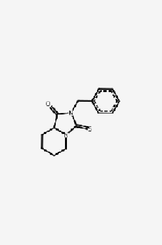 O=C1C2CCCCN2C(=S)N1Cc1ccccc1